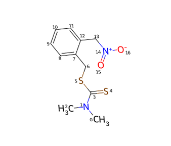 CN(C)C(=S)SCc1ccccc1C[N+](=O)[O-]